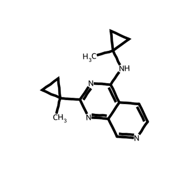 CC1(Nc2nc(C3(C)CC3)nc3cnccc23)CC1